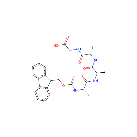 C[C@H](NC(=O)OCC1c2ccccc2-c2ccccc21)C(=O)N[C@H](C)C(=O)N[C@@H](C)C(=O)NCC(=O)O